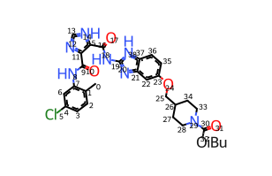 Cc1ccc(Cl)cc1NC(=O)c1nc[nH]c1C(=O)Nc1nc2cc(OCC3CCN(C(=O)OCC(C)C)CC3)ccc2[nH]1